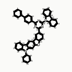 c1ccc(-c2ccc(-c3nc(-c4ccc5oc6cc7c(cc6c5c4)c4ccccc4n7-c4ccccc4)nc(-n4c5ccccc5c5ccccc54)n3)cc2)cc1